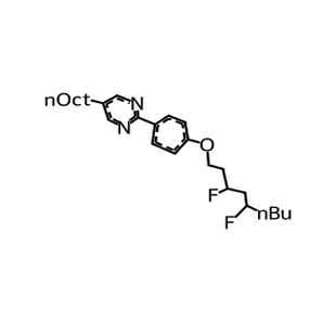 CCCCCCCCc1cnc(-c2ccc(OCCC(F)CC(F)CCCC)cc2)nc1